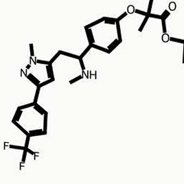 CCOC(=O)C(C)(C)Oc1ccc(C(Cc2cc(-c3ccc(C(F)(F)F)cc3)nn2C)NC)cc1